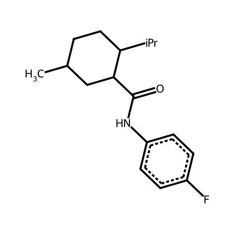 CC1CCC(C(C)C)C(C(=O)Nc2ccc(F)cc2)C1